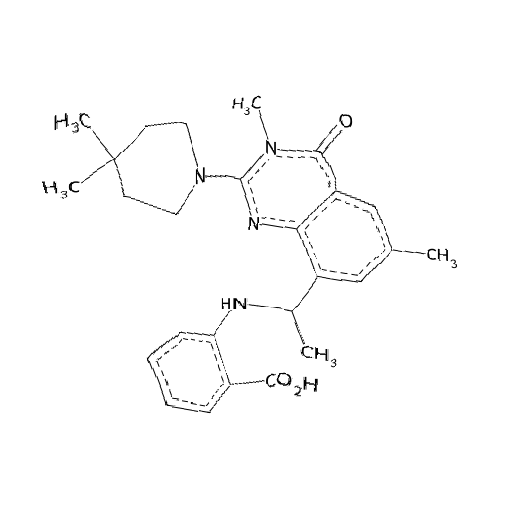 Cc1cc(C(C)Nc2ccccc2C(=O)O)c2nc(N3CCC(C)(C)CC3)n(C)c(=O)c2c1